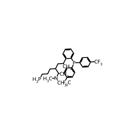 CC(CC(CCCP)[C@@H](C)N(C)C)c1ccccc1P(c1ccc(C(F)(F)F)cc1)c1ccc(C(F)(F)F)cc1